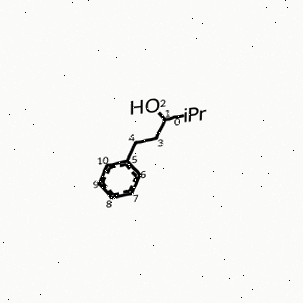 CC(C)C(O)CCc1ccccc1